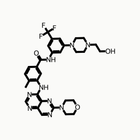 Cc1ccc(C(=O)Nc2cc(N3CCN(CCO)CC3)cc(C(F)(F)F)c2)cc1Nc1ncnc2cnc(N3CCOCC3)nc12